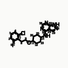 Fc1cccc(Cl)c1CCOC1CCC(Nc2ncnc3[nH]ncc23)CC1